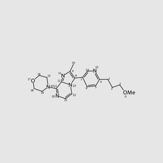 COCCCc1ccc(-c2c(C)nc3c(N4CCOCC4)nccn23)cn1